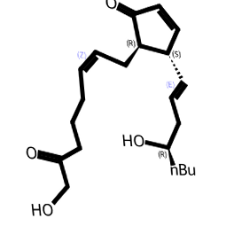 CCCC[C@@H](O)C/C=C/[C@H]1C=CC(=O)[C@@H]1C/C=C\CCCC(=O)CO